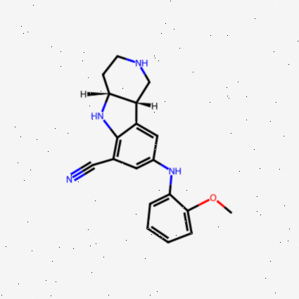 COc1ccccc1Nc1cc(C#N)c2c(c1)[C@H]1CNCC[C@H]1N2